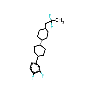 CC(F)(F)C[C@H]1CC[C@H](C2CCC(c3ccc(F)c(F)c3)CC2)CC1